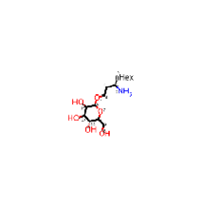 CCCCCC[C@@H](N)CCO[C@H]1OC(CO)[C@H](O)C(O)C1O